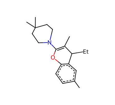 CCC1C(C)=C(N2CCC(C)(C)CC2)Oc2ccc(C)cc21